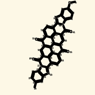 COc1ccc2c(c1)nc1c3ccc4c(=O)c5cc6c(=O)n7c8ccc(C)cc8nc7c7ccc8c(=O)c9cc(c(=O)n21)c3c4c9c5c8c67